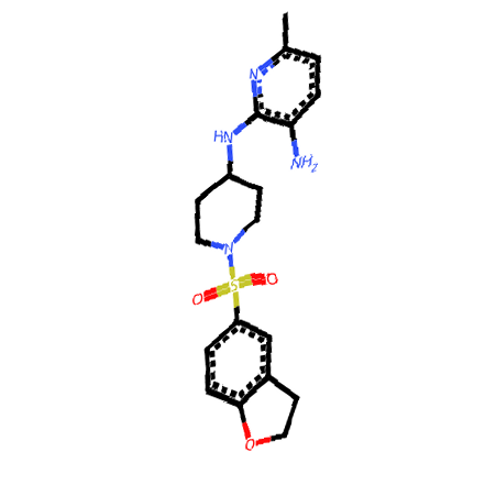 Cc1ccc(N)c(NC2CCN(S(=O)(=O)c3ccc4c(c3)CCO4)CC2)n1